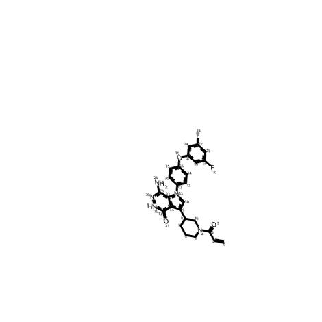 C=CC(=O)N1CCCC(c2cn(-c3ccc(Oc4cc(F)cc(F)c4)cc3)c3c(N)n[nH]c(=O)c23)C1